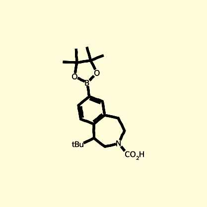 CC(C)(C)C1CN(C(=O)O)CCc2cc(B3OC(C)(C)C(C)(C)O3)ccc21